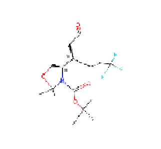 CC(C)(C)OC(=O)N1[C@H]([C@@H](CC=O)CCC(F)(F)F)COC1(C)C